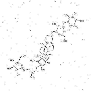 C[C@H](CC[C@@]1(O)O[C@H]2C[C@H]3[C@@H]4CC=C5C[C@@H](O[C@@H]6O[C@H](CO)[C@@H](O[C@@H]7O[C@@H](C)[C@H](O)[C@@H](O)[C@H]7O)[C@H](O)[C@H]6O)CC[C@]5(C)[C@H]4CC[C@]3(C)[C@H]2[C@@H]1C)CO[C@@H]1O[C@H](CO)[C@@H](O)[C@H](O)[C@H]1O